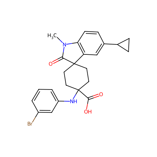 CN1C(=O)C2(CCC(Nc3cccc(Br)c3)(C(=O)O)CC2)c2cc(C3CC3)ccc21